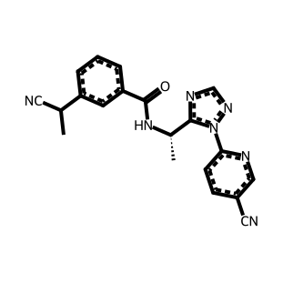 CC(C#N)c1cccc(C(=O)N[C@@H](C)c2ncnn2-c2ccc(C#N)cn2)c1